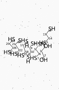 OCCO.SCCS.SCCS.SCCS.SCCS.SCCS.SCCS